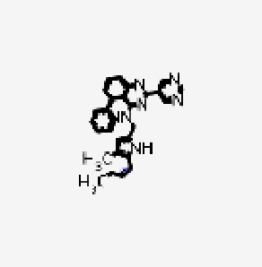 CC/C=C\c1[nH]c(CNC2=NC(c3cncnc3)=NC3=CC=CC(c4ccccc4)C32)cc1C